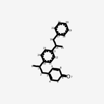 CC(CC1=CCC(=O)C=C1)c1ccc(C(C)Cc2ccccc2)cc1